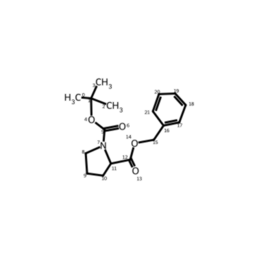 CC(C)(C)OC(=O)N1CCCC1C(=O)OCc1ccccc1